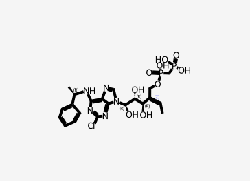 C/C=C(/COP(=O)(O)CP(=O)(O)O)[C@@H](O)[C@@H](O)[C@@H](O)n1cnc2c(N[C@H](C)c3ccccc3)nc(Cl)nc21